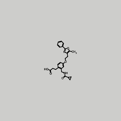 Cc1oc(-c2ccccc2)nc1CCOc1ccc(CCC(=O)O)c(CNC(=O)C2CC2)c1